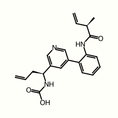 C=CC[C@H](NC(=O)O)c1cncc(-c2ccccc2NC(=O)[C@H](C)C=C)c1